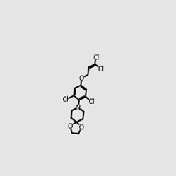 ClC(Cl)=CCOc1cc(Cl)c(N2CCC3(CC2)OCCO3)c(Cl)c1